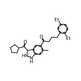 CCc1ccc(CC)c(CCCC(=O)c2cc3c(cc2C)NNC3C(=O)C2CCCC2)c1